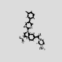 Cc1cccc(-c2cnc(-n3cc([S+](C)[O-])c4ccc(C(=O)N5CC[C@@H](N)C5)cc43)nc2)c1